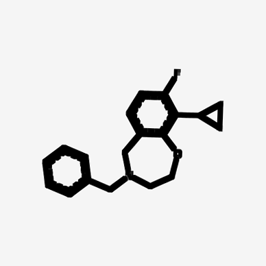 Fc1ccc2c(c1C1CC1)OCCN(Cc1ccccc1)C2